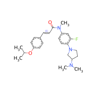 CC(C)Oc1ccc(/C=C/C(=O)N(C)c2ccc(N3CCC(N(C)C)C3)c(F)c2)cc1